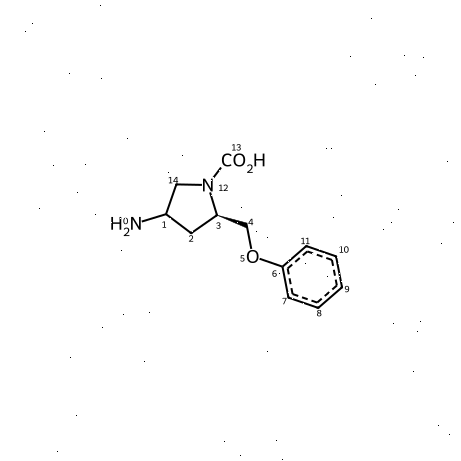 NC1C[C@H](COc2ccccc2)N(C(=O)O)C1